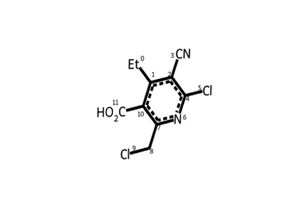 CCc1c(C#N)c(Cl)nc(CCl)c1C(=O)O